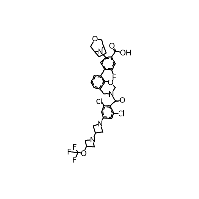 O=C(O)c1cc(F)c(-c2cccc3c2OCN(C(=O)c2c(Cl)cc(N4CC(N5CC(OC(F)(F)F)C5)C4)cc2Cl)C3)cc1N1C2CCC1COC2